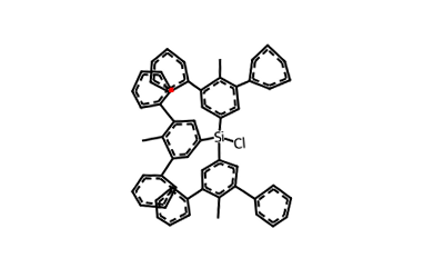 Cc1c(-c2ccccc2)cc([Si](Cl)(c2cc(-c3ccccc3)c(C)c(-c3ccccc3)c2)c2cc(-c3ccccc3)c(C)c(-c3ccccc3)c2)cc1-c1ccccc1